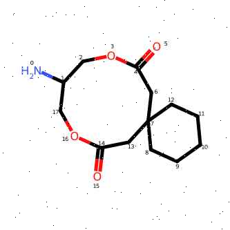 NC1COC(=O)CC2(CCCCC2)CC(=O)OC1